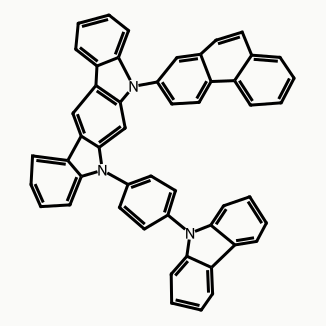 c1ccc2c(c1)ccc1cc(-n3c4ccccc4c4cc5c6ccccc6n(-c6ccc(-n7c8ccccc8c8ccccc87)cc6)c5cc43)ccc12